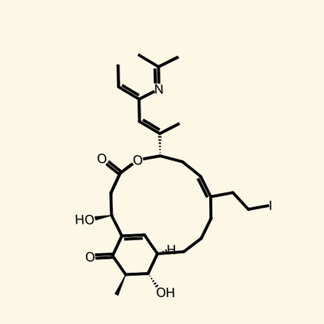 C/C=C(/C=C(\C)[C@@H]1C/C=C(/CCI)CCC[C@@H]2C=C(C(=O)[C@H](C)[C@H]2O)[C@@H](O)CC(=O)O1)N=C(C)C